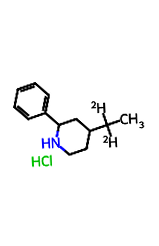 Cl.[2H]C([2H])(C)C1CCNC(c2ccccc2)C1